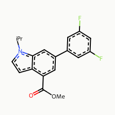 COC(=O)c1cc(-c2cc(F)cc(F)c2)cc2c1ccn2C(C)C